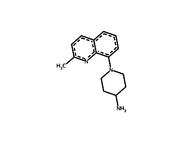 Cc1ccc2cccc(N3CCC(N)CC3)c2n1